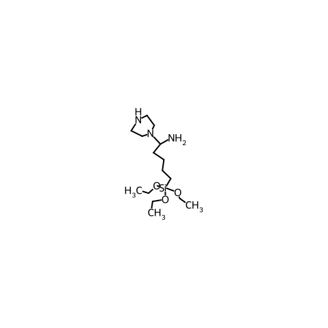 CCO[Si](CCCCC(N)N1CCNCC1)(OCC)OCC